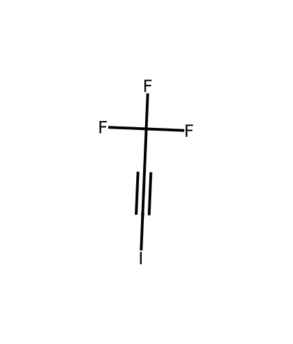 FC(F)(F)C#CI